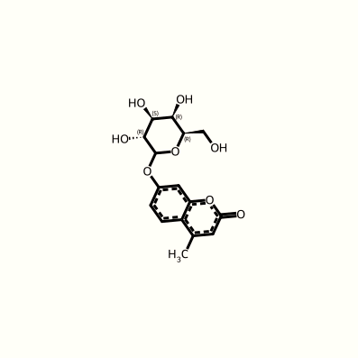 Cc1cc(=O)oc2cc(OC3O[C@H](CO)[C@H](O)[C@H](O)[C@H]3O)ccc12